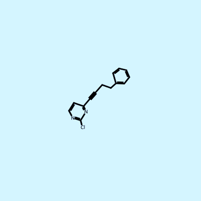 Clc1nccc(C#CCCc2ccccc2)n1